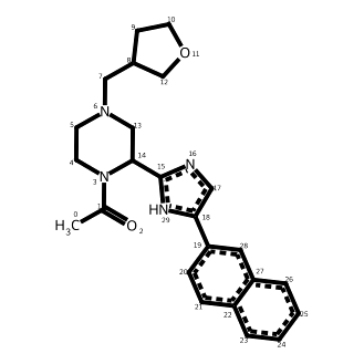 CC(=O)N1CCN(CC2CCOC2)CC1c1ncc(-c2ccc3ccccc3c2)[nH]1